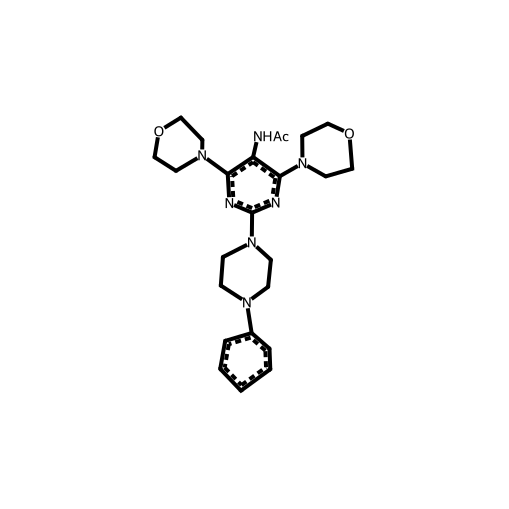 CC(=O)Nc1c(N2CCOCC2)nc(N2CCN(c3ccccc3)CC2)nc1N1CCOCC1